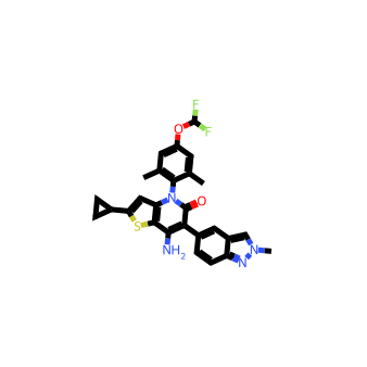 Cc1cc(OC(F)F)cc(C)c1-n1c(=O)c(-c2ccc3nn(C)cc3c2)c(N)c2sc(C3CC3)cc21